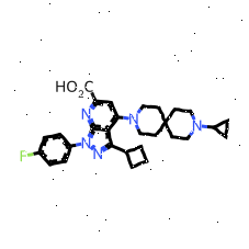 O=C(O)c1cc(N2CCC3(CC2)CCN(C2CC2)CC3)c2c(C3CCC3)nn(-c3ccc(F)cc3)c2n1